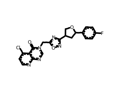 O=c1c2c(Cl)ccnc2ncn1Cc1nc(C2COC(c3ccc(F)cc3)C2)no1